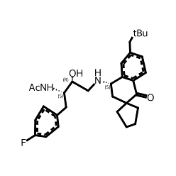 CC(=O)N[C@@H](Cc1ccc(F)cc1)[C@H](O)CN[C@H]1CC2(CCCC2)C(=O)c2ccc(CC(C)(C)C)cc21